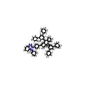 CC1C(c2ccccc2)=CC(c2ccccc2)=CC1C1=C2C=C(c3ccc(-c4nc5ccccc5n4-c4ccccc4)cc3)C=CC2(C)C(c2cc(-c3ccccc3)cc(-c3ccccc3)c2)c2ccccc21